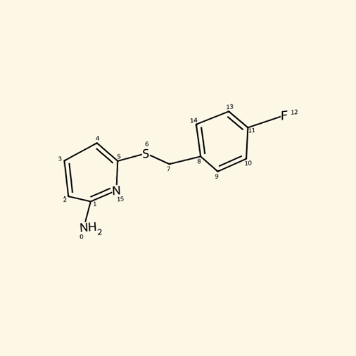 Nc1[c]ccc(SCc2ccc(F)cc2)n1